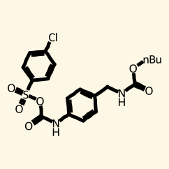 CCCCOC(=O)NCc1ccc(NC(=O)OS(=O)(=O)c2ccc(Cl)cc2)cc1